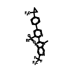 CCS(=O)(=O)c1cc(-c2ccc(C3(C(F)(F)F)CC3)cc2)cnc1-c1nc2cc(C(F)(F)C(F)(F)F)ncc2n1C